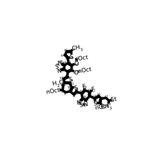 C=CC(CCCCCCCC)Cc1cc(-c2c(F)c(F)c(-c3cc(CC(CC)CCCCCCCC)c(C)s3)c3nsnc23)sc1-c1ccc(-c2c(OCCCCCCCC)c(OCCCCCCCC)c(-c3ccc(C)s3)c3nsnc23)s1